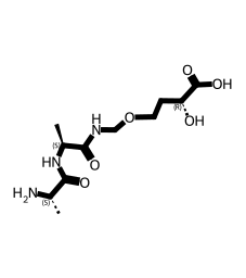 C[C@H](N)C(=O)N[C@@H](C)C(=O)NCOCC[C@@H](O)C(=O)O